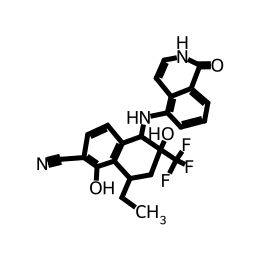 CCC1CC(O)(C(F)(F)F)C(Nc2cccc3c(=O)[nH]ccc23)c2ccc(C#N)c(O)c21